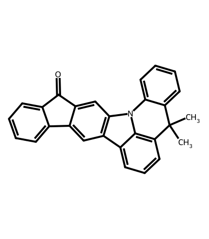 CC1(C)c2ccccc2-n2c3cc4c(cc3c3cccc1c32)-c1ccccc1C4=O